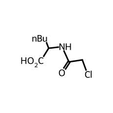 CCCCC(NC(=O)CCl)C(=O)O